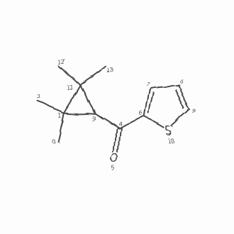 CC1(C)C(C(=O)c2cccs2)C1(C)C